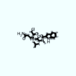 CC(C)C[C@H](C(=O)NN(CCC(N)=O)C(=O)CCl)N(C)C(=O)c1cc2ccccc2[nH]1